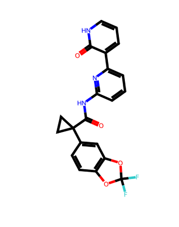 O=C(Nc1cccc(-c2ccc[nH]c2=O)n1)C1(c2ccc3c(c2)OC(F)(F)O3)CC1